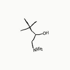 CNCC(O)C(C)(C)C